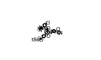 CN1CCN(c2cccc(C[C@H](NC(=O)C(=O)Nc3cc(Cl)ccc3-n3cnnn3)C(=O)Nc3ccc(C(=O)OC(C)(C)C)cc3)c2)C(=O)C1